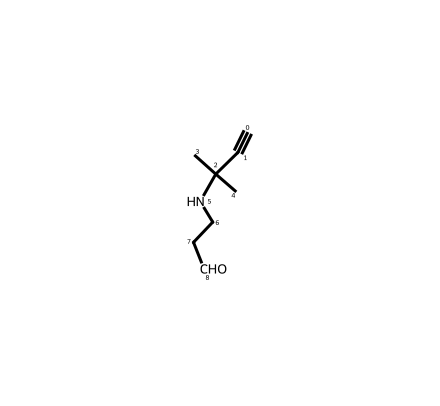 C#CC(C)(C)NCCC=O